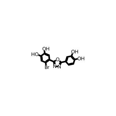 Oc1ccc(-c2nnc(-c3cc(O)c(O)cc3Br)o2)cc1O